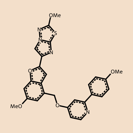 COc1ccc(-c2cc(OCc3cc(OC)cc4oc(-c5cn6nc(OC)sc6n5)cc34)ccn2)cc1